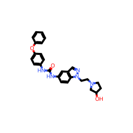 O=C(Nc1ccc(Oc2ccccc2)cc1)Nc1ccc2c(cnn2CCN2CCC(O)C2)c1